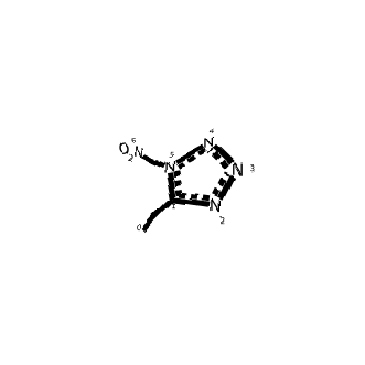 Cc1nnnn1[N+](=O)[O-]